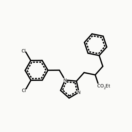 CCOC(=O)C(Cc1ccccc1)Cc1nccn1Cc1cc(Cl)cc(Cl)c1